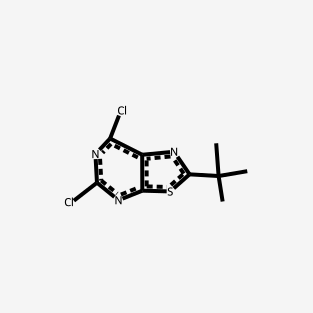 CC(C)(C)c1nc2c(Cl)nc(Cl)nc2s1